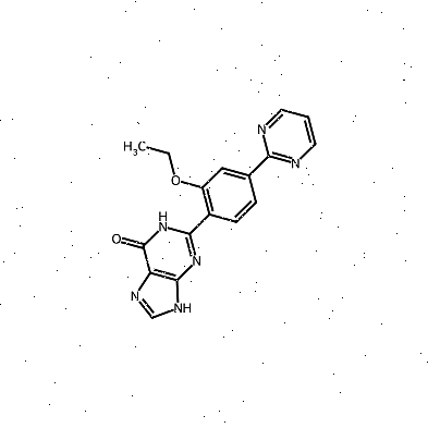 CCOc1cc(-c2ncccn2)ccc1-c1nc2[nH]cnc2c(=O)[nH]1